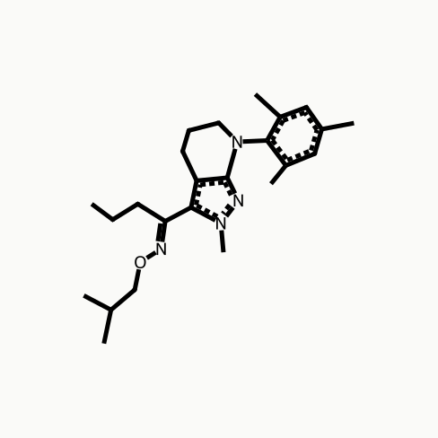 CCC/C(=N\OCC(C)C)c1c2c(nn1C)N(c1c(C)cc(C)cc1C)CCC2